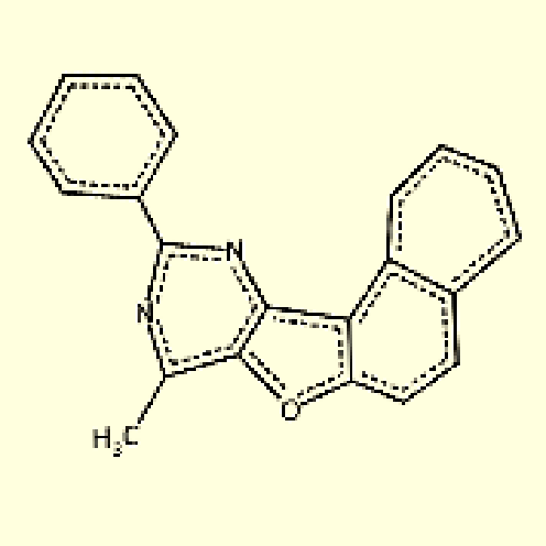 Cc1nc(-c2ccccc2)nc2c1oc1ccc3ccccc3c12